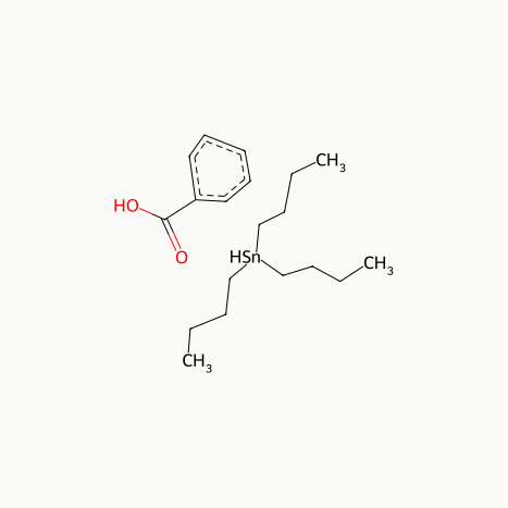 CCC[CH2][SnH]([CH2]CCC)[CH2]CCC.O=C(O)c1ccccc1